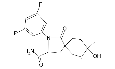 CC1(O)[CH]CC2(CC1)CC(C(N)=O)N(c1cc(F)cc(F)c1)C2=O